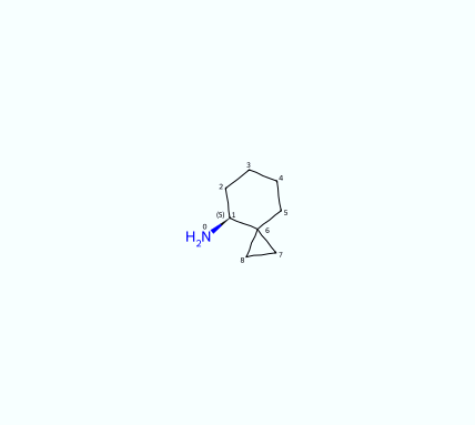 N[C@H]1CCCCC12CC2